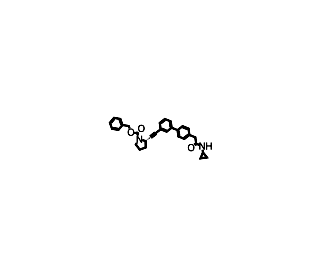 O=C(Cc1ccc(-c2cccc(C#C[C@@H]3CCCN3C(=O)OCc3ccccc3)c2)cc1)NC1CC1